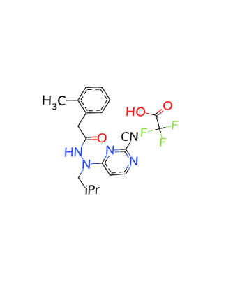 Cc1ccccc1CC(=O)NN(CC(C)C)c1ccnc(C#N)n1.O=C(O)C(F)(F)F